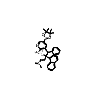 CN(C)CCC(O)(C1=C=C=Cc2ccccc21)C(c1ccccc1)c1cc(B2OC(C)(C)C(C)(C)O2)cnc1O